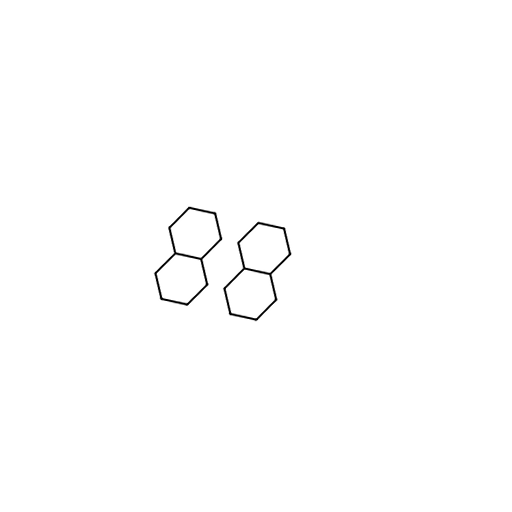 C1CCC2CCCCC2C1.C1CCC2CCCCC2C1